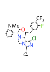 CNC(=O)[C@@H](c1ccccc1)N1CCn2c(C3CC3)nc(Cl)c2[C@@H]1CCc1ccc(C(F)(F)F)c(F)c1